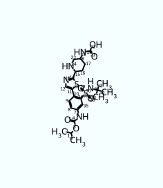 CC(C)OC(=O)Nc1ccc(-c2cnc(C3CCC(NC(=O)O)CN3)s2)c(S(=O)(=O)NC(C)(C)C)c1